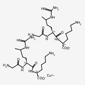 CC(CC[C@H](NC(=O)CN)C(=O)N[C@@H](CCCCN)C(=O)[O-])NC(=N)N.CC(CC[C@H](NC(=O)CN)C(=O)N[C@@H](CCCCN)C(=O)[O-])NC(=N)N.[Cu+2]